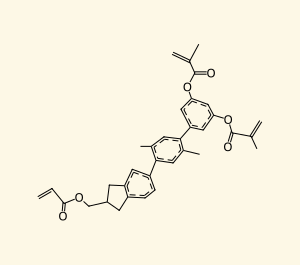 C=CC(=O)OCC1Cc2ccc(-c3cc(C)c(-c4cc(OC(=O)C(=C)C)cc(OC(=O)C(=C)C)c4)cc3C)cc2C1